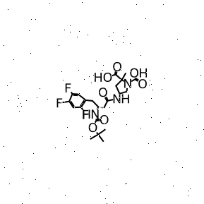 CC(C)(C)OC(=O)N[C@@H](CC(=O)NC1CN(C(=O)O)C(C)(C(=O)O)C1)Cc1cc(F)c(F)cc1F